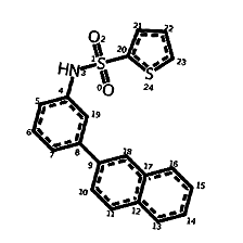 O=S(=O)(Nc1cccc(-c2ccc3ccccc3c2)c1)c1cccs1